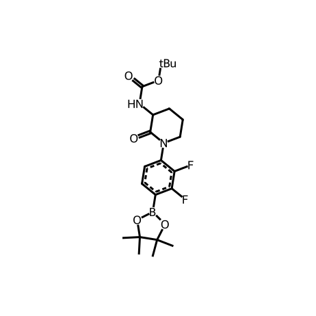 CC(C)(C)OC(=O)NC1CCCN(c2ccc(B3OC(C)(C)C(C)(C)O3)c(F)c2F)C1=O